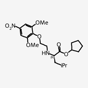 COc1cc([N+](=O)[O-])cc(OC)c1OCCN[C@H](CC(C)C)C(=O)OC1CCCC1